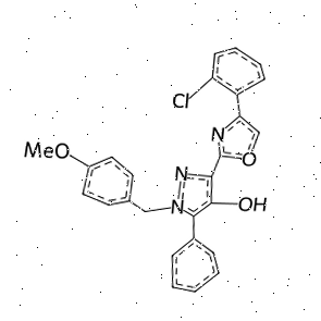 COc1ccc(Cn2nc(-c3nc(-c4ccccc4Cl)co3)c(O)c2-c2ccccc2)cc1